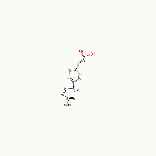 O=C(O)/C=C/c1ccc(-c2ccc(S)cn2)cc1